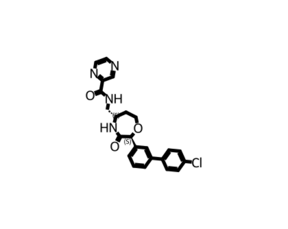 O=C(NC[C@@H]1CCO[C@@H](c2cccc(-c3ccc(Cl)cc3)c2)C(=O)N1)c1cnccn1